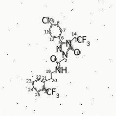 O=C(Cn1nc(-c2ccc(Cl)cc2)n(CC(F)(F)F)c1=O)NCCc1ccccc1C(F)(F)F